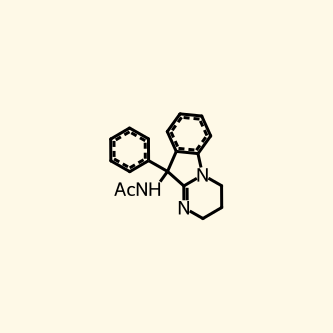 CC(=O)NC1(c2ccccc2)C2=NCCCN2c2ccccc21